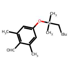 Cc1cc(O[Si](C)(C)CC(C)(C)C)cc(C)c1C=O